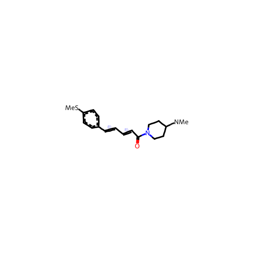 CNC1CCN(C(=O)/C=C/C=C/c2ccc(SC)cc2)CC1